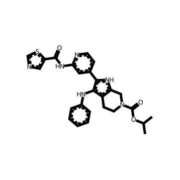 CC(C)OC(=O)N1CCc2c([nH]c(-c3ccnc(NC(=O)c4cncs4)c3)c2Nc2ccccc2)C1